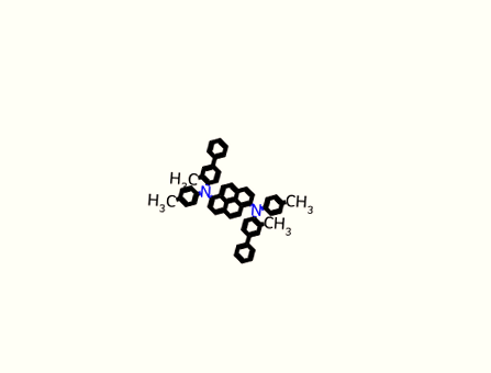 Cc1ccc(N(c2ccc(-c3ccccc3)cc2C)c2ccc3ccc4c(N(c5ccc(C)cc5)c5ccc(-c6ccccc6)cc5C)ccc5ccc2c3c54)cc1